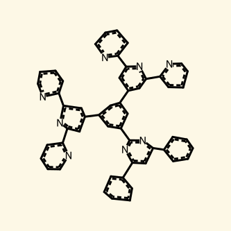 c1ccc(-c2cc(-c3ccccc3)nc(-c3cc(-c4cc(-c5ccccn5)nc(-c5ccccn5)c4)cc(-c4cc(-c5ccccn5)nc(-c5ccccn5)c4)c3)n2)cc1